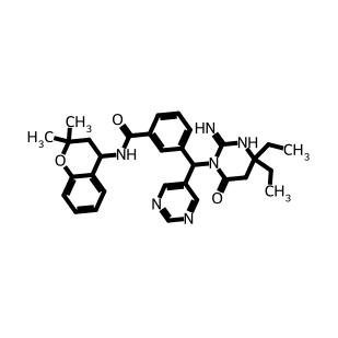 CCC1(CC)CC(=O)N(C(c2cncnc2)c2cccc(C(=O)NC3CC(C)(C)Oc4ccccc43)c2)C(=N)N1